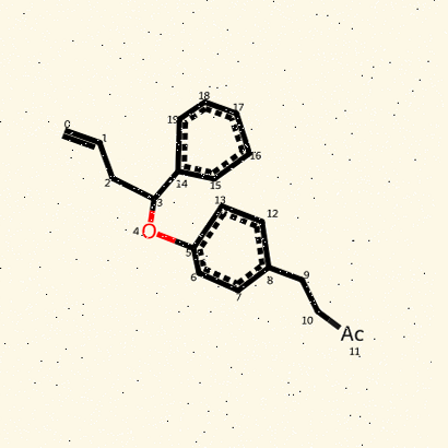 C=CCC(Oc1ccc(CCC(C)=O)cc1)c1ccccc1